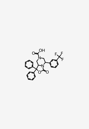 O=C(O)N1CC(c2cccc(C(F)(F)F)c2)N2C(=O)OC(c3ccccc3)(c3ccccc3)C2C1